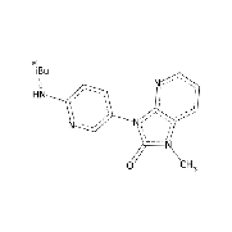 CC[C@@H](C)Nc1ccc(-n2c(=O)n(C)c3cccnc32)cn1